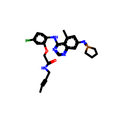 CC#CCNC(=O)COc1cc(F)ccc1Nc1ncnc2cc(N=S3CCCC3)cc(C)c12